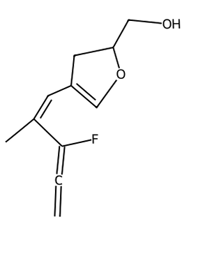 C=C=C(F)/C(C)=C\C1=COC(CO)C1